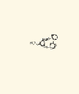 COc1ccccc1-c1cc(Nc2cccc(CN)c2)ncn1